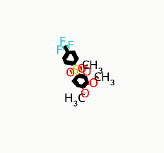 COc1ccc(S(=O)(=O)c2ccc(C(F)(F)F)cc2)c(OC)c1OC